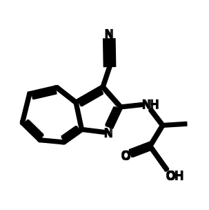 CC(Nc1nc2cccccc-2c1C#N)C(=O)O